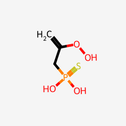 C=C(CP(O)(O)=S)OO